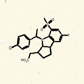 CC(c1ccc(Cl)cc1)N1c2c(cc(F)cc2S(C)(=O)=O)C2CCC(CC(=O)O)C21